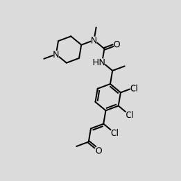 CC(=O)C=C(Cl)c1ccc(C(C)NC(=O)N(C)C2CCN(C)CC2)c(Cl)c1Cl